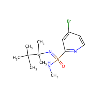 CNS(=O)(=N[Si](C)(C)C(C)(C)C)c1cc(Br)ccn1